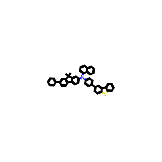 CC1(C)c2cc(-c3ccccc3)ccc2-c2ccc(N(c3ccc(-c4ccc5sc6ccccc6c5c4)cc3)c3cccc4ccccc34)cc21